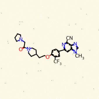 Cn1cnc2c(C#N)nc(-c3ccc(OCCC4CCN(C(=O)CN5CCCC5)CC4)c(C(F)(F)F)c3)cc21